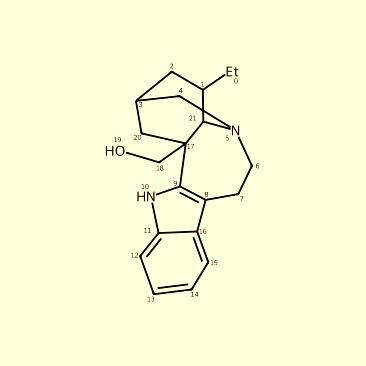 CCC1CC2CN3CCc4c([nH]c5ccccc45)C(CO)(C2)C13